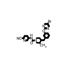 CC1CN(C(=O)Nc2ccc(C#N)nc2)CC/C1=C\c1cccc(Oc2ncc(Br)cn2)c1